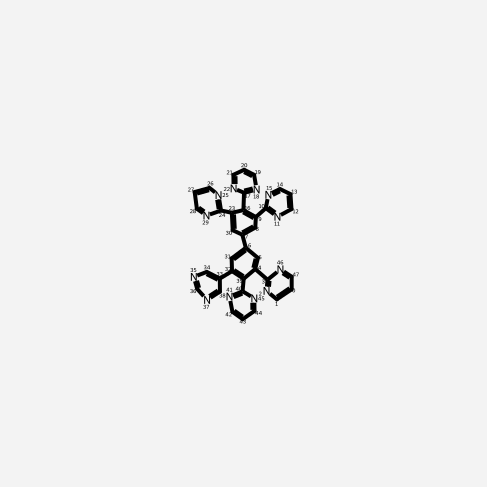 c1cnc(-c2cc(-c3cc(-c4ncccn4)c(-c4ncccn4)c(-c4ncccn4)c3)cc(-c3cncnc3)c2-c2ncccn2)nc1